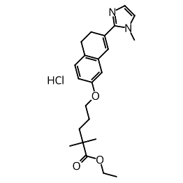 CCOC(=O)C(C)(C)CCCOc1ccc2c(c1)C=C(c1nccn1C)CC2.Cl